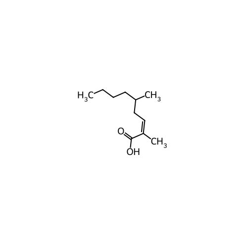 CCCCC(C)CC=C(C)C(=O)O